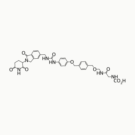 O=C(O)NCC(=O)NCOCc1ccc(COc2ccc(NC(=O)NCc3ccc4c(c3)CN(C3CCC(=O)NC3=O)C4=O)cc2)cc1